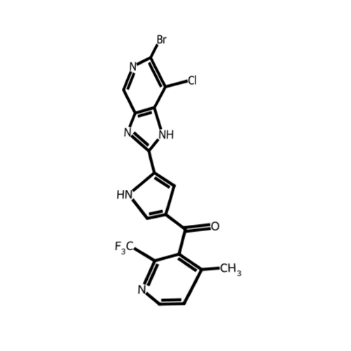 Cc1ccnc(C(F)(F)F)c1C(=O)c1c[nH]c(-c2nc3cnc(Br)c(Cl)c3[nH]2)c1